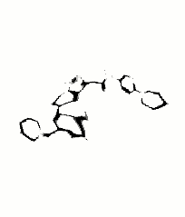 O=C(Nc1ccc(N2CCCCC2)nc1)c1n[nH]c2ccc(-c3cc(CN4CCCCC4)cc(F)c3F)cc12